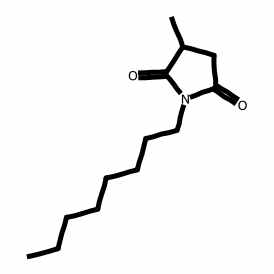 CCCCCCCCN1C(=O)CC(C)C1=O